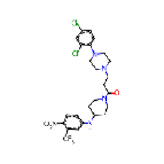 O=C(CCN1CCN(c2ccc(Cl)cc2Cl)CC1)N1CCC(Nc2ccc([N+](=O)[O-])c(C(F)(F)F)c2)CC1